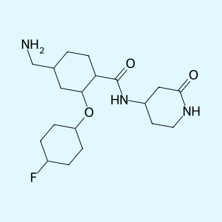 NCC1CCC(C(=O)NC2CCNC(=O)C2)C(OC2CCC(F)CC2)C1